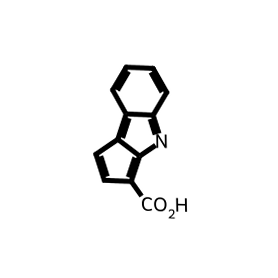 O=C(O)C1=C2N=c3ccccc3=C2C=C1